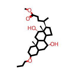 CCCOC1CC[C@@]2(C)C(C1)C[C@@H](O)C1C2C[C@H](O)[C@@]2(C)C1CC[C@@H]2C(C)CCC(=O)OC